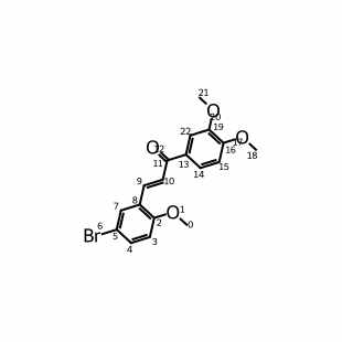 COc1ccc(Br)cc1/C=C/C(=O)c1ccc(OC)c(OC)c1